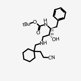 CC(C)(C)OC(=O)N[C@@H](Cc1ccccc1)[C@H](O)CNCC1(CCC#N)CCCCC1